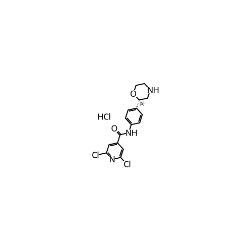 Cl.O=C(Nc1ccc([C@H]2CNCCO2)cc1)c1cc(Cl)nc(Cl)c1